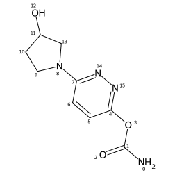 NC(=O)Oc1ccc(N2CCC(O)C2)nn1